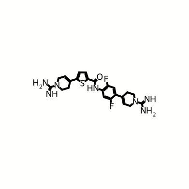 N=C(N)N1CC=C(c2ccc(C(=O)Nc3cc(F)c(C4=CCN(C(=N)N)CC4)cc3F)s2)CC1